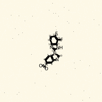 O=[N+]([O-])c1ccc2c(c1)ncn2-c1nc2ccc(F)c(F)c2[nH]1